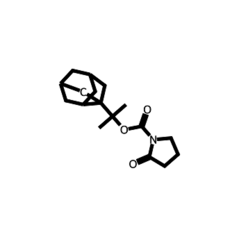 CC(C)(OC(=O)N1CCCC1=O)C12CC3CC(CC1C3)C2